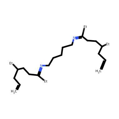 C=CCC(CC)CCC(CC)=NCCCCCN=C(CC)CCC(CC)CC=C